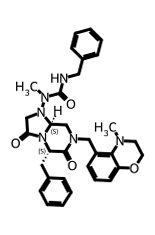 CN1CCOc2cccc(CN3C[C@H]4N(C(=O)CN4N(C)C(=O)NCc4ccccc4)[C@@H](Cc4ccccc4)C3=O)c21